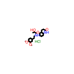 COc1ccc(CCNC(Oc2cccc3c2CCC(=O)N3)C(C)O)cc1OC.Cl